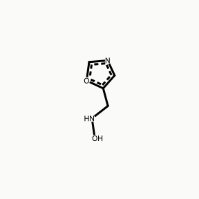 ONCc1cnco1